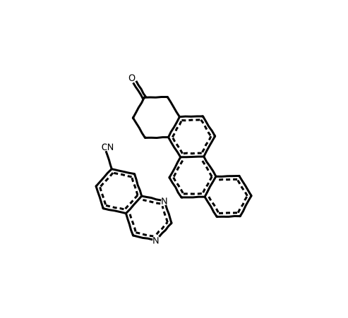 N#Cc1ccc2cncnc2c1.O=C1CCc2c(ccc3c2ccc2ccccc23)C1